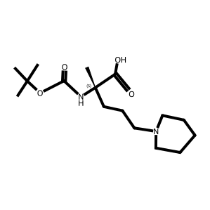 CC(C)(C)OC(=O)N[C@@](C)(CCCN1CCCCC1)C(=O)O